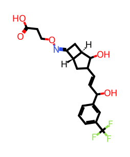 O=C(O)CCON=C1C[C@H]2C(O)C(C=CC(O)c3cccc(C(F)(F)F)c3)C[C@H]12